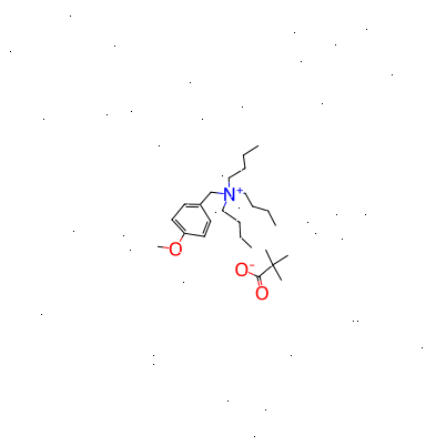 CC(C)(C)C(=O)[O-].CCCC[N+](CCCC)(CCCC)Cc1ccc(OC)cc1